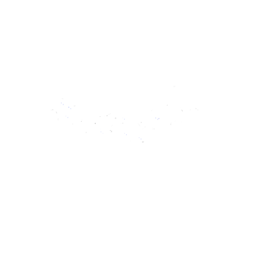 N#Cc1ccc(N2CCc3c(ncnc3Nc3ccc(OCCn4ccnn4)nc3)C2)cc1CF